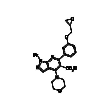 CC(C)n1ncc2c(N3CCOCC3)c(C(=O)O)c(-c3cccc(OCC4CO4)c3)nc21